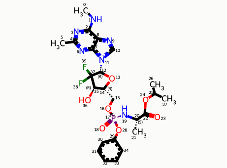 CNc1nc(C)nc2c1ncn2[C@@H]1O[C@H](CO[P@@](=O)(N[C@@H](C)C(=O)OC(C)C)Oc2ccccc2)[C@@H](O)C1(F)F